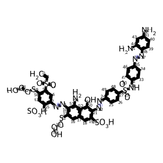 C=CS(=O)(=O)c1cc(/N=N/c2c(SOOO)cc3cc(S(=O)(=O)O)c(/N=N/c4ccc(S(=O)(=O)Nc5ccc(/N=N/c6ccc(N)cc6N)cc5)cc4)c(O)c3c2N)c(S(=O)(=O)O)cc1SOOO